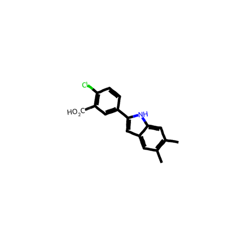 Cc1cc2cc(-c3ccc(Cl)c(C(=O)O)c3)[nH]c2cc1C